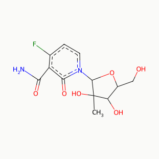 CC1(O)C(O)C(CO)OC1n1ccc(F)c(C(N)=O)c1=O